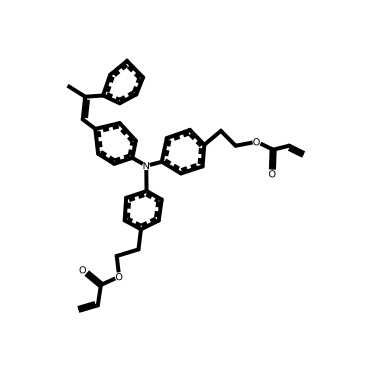 C=CC(=O)OCCc1ccc(N(c2ccc(C=C(C)c3ccccc3)cc2)c2ccc(CCOC(=O)C=C)cc2)cc1